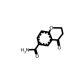 NC(=O)c1ccc2c(c1)C(=O)CCO2